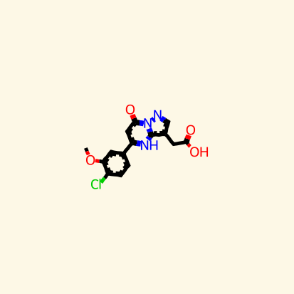 COc1cc(-c2cc(=O)n3ncc(CC(=O)O)c3[nH]2)ccc1Cl